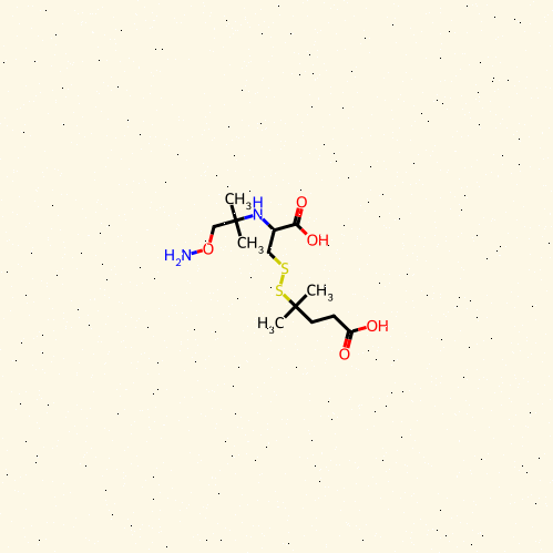 CC(C)(CON)NC(CSSC(C)(C)CCC(=O)O)C(=O)O